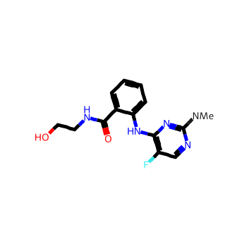 CNc1ncc(F)c(Nc2ccccc2C(=O)NCCO)n1